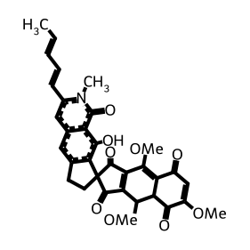 C/C=C/C=C/c1cc2cc3c(c(O)c2c(=O)n1C)C1(CC3)C(=O)C2=C(C1=O)C(OC)C1C(=O)C(OC)=CC(=O)C1=C2OC